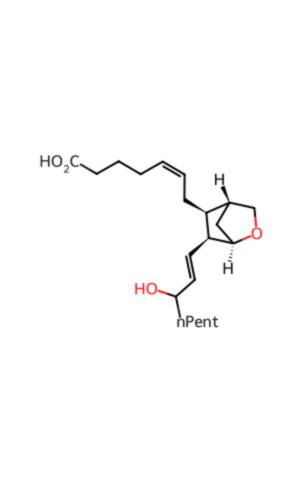 CCCCCC(O)C=C[C@H]1[C@@H](C/C=C\CCCC(=O)O)[C@@H]2CO[C@@H]1C2